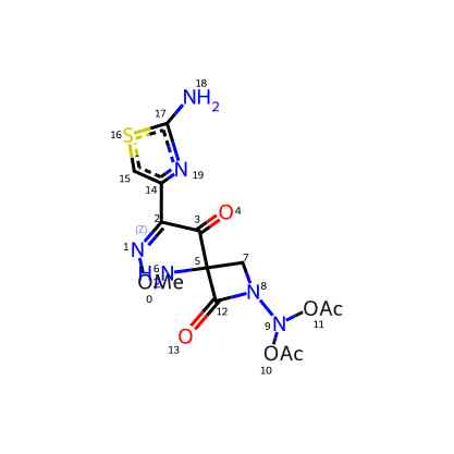 CO/N=C(\C(=O)C1(N)CN(N(OC(C)=O)OC(C)=O)C1=O)c1csc(N)n1